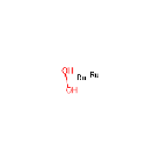 OO.[Ru].[Ru]